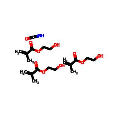 C=C(C)C(=O)OCCO.C=C(C)C(=O)OCCO.C=C(C)C(=O)OCCO.N=C=O